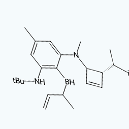 C=CC(C)Bc1c(NC(C)(C)C)cc(C)cc1N(C)C1C=C[C@H]1C(C)C(C)C